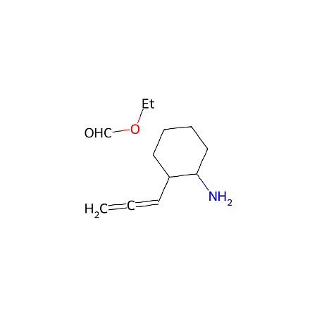 C=C=CC1CCCCC1N.CCOC=O